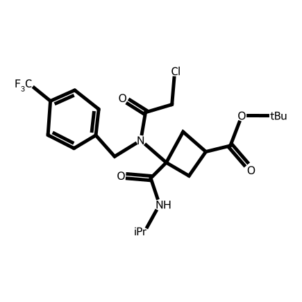 CC(C)NC(=O)C1(N(Cc2ccc(C(F)(F)F)cc2)C(=O)CCl)CC(C(=O)OC(C)(C)C)C1